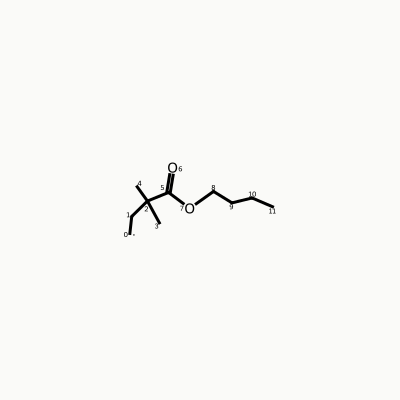 [CH2]CC(C)(C)C(=O)OCCCC